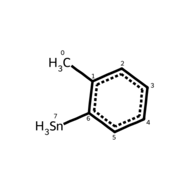 Cc1cccc[c]1[SnH3]